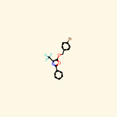 FC(F)(F)c1nc(-c2ccccc2)oc1OCc1ccc(Br)cc1